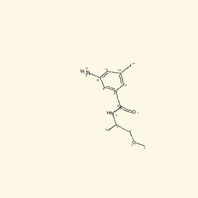 COCC(C)NC(=O)c1cc(N)cc(I)c1